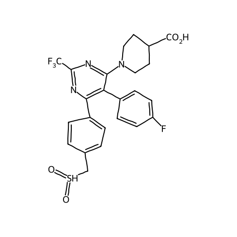 O=C(O)C1CCN(c2nc(C(F)(F)F)nc(-c3ccc(C[SH](=O)=O)cc3)c2-c2ccc(F)cc2)CC1